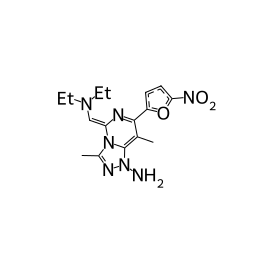 CCN(C=C1N=C(c2ccc([N+](=O)[O-])o2)C(C)=C2N(N)N=C(C)N12)CC